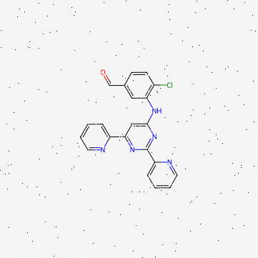 O=Cc1ccc(Cl)c(Nc2cc(-c3ccccn3)nc(-c3ccccn3)n2)c1